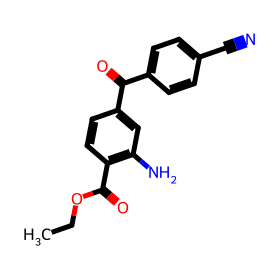 CCOC(=O)c1ccc(C(=O)c2ccc(C#N)cc2)cc1N